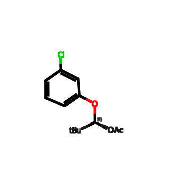 CC(=O)O[C@H](Oc1cccc(Cl)c1)C(C)(C)C